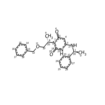 C[C@H](Nc1cc(=O)n([C@@H](C)COCc2ccccc2)c(=O)[nH]1)c1ccccc1